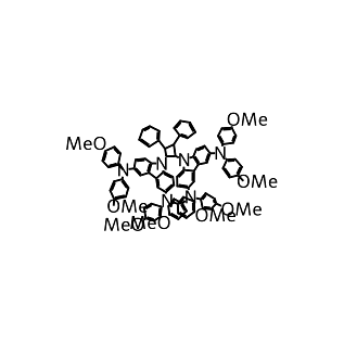 COc1ccc(N(c2ccc(OC)cc2)c2ccc3c(c2)c2cc(N(c4ccc(OC)cc4)c4ccc(OC)cc4)ccc2n3C2C(c3ccccc3)C(c3ccccc3)C2n2c3ccc(N(c4ccc(OC)cc4)c4ccc(OC)cc4)cc3c3cc(N(c4ccc(OC)cc4)c4ccc(OC)cc4)ccc32)cc1